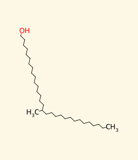 CCCCCCCCCCCCCCC(C)CCCCCCCCCCCCCCCCO